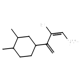 C=C(/C(=C\NC)CC)C1CCC(C)C(C)C1